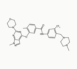 Cc1ccc(C(=O)Nc2ccc(CN3CCN(C)CC3)c(C(F)(F)F)c2)cc1Oc1nc(N2CCOCC2)nc2c1cnn2C